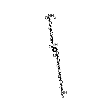 NC(=O)CCOCCOCCOCCOCCNC(=O)c1ccc(OC(=O)CCOCCOCCOCCOCCOCCOCCNC=S)cc1